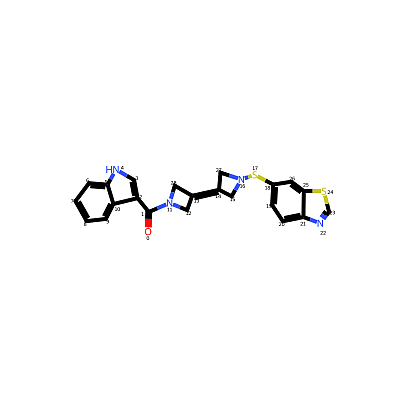 O=C(c1c[nH]c2ccccc12)N1CC(=C2CN(Sc3ccc4ncsc4c3)C2)C1